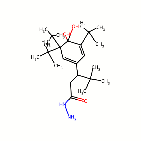 CC(C)(C)C1=CC(C(CC(=O)NN)C(C)(C)C)=CC(C(C)(C)C)(C(C)(C)C)C1(O)O